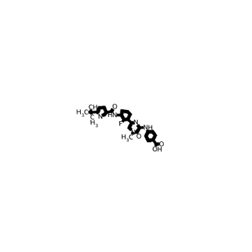 Cn1cc(-c2cccc(NC(=O)c3ccc(C(C)(C)C)nc3)c2F)nc(Nc2ccc(C(=O)O)cc2)c1=O